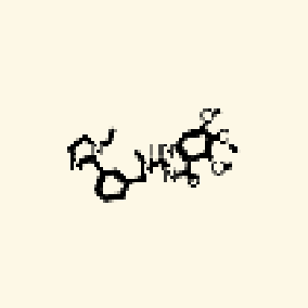 CCN1CCN=C1c1cccc(CN(C)c2nc(=O)c3c(OC)c(OC)c(OC)cc3[nH]2)c1